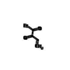 C=CC(=O)C(=O)CC